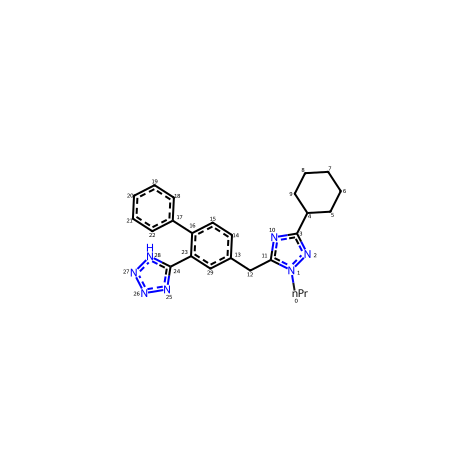 CCCn1nc(C2CCCCC2)nc1Cc1ccc(-c2ccccc2)c(-c2nnn[nH]2)c1